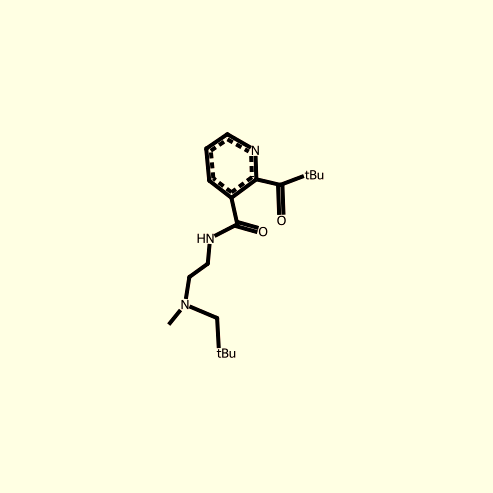 CN(CCNC(=O)c1cccnc1C(=O)C(C)(C)C)CC(C)(C)C